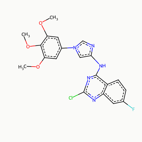 COc1cc(-n2cnc(Nc3nc(Cl)nc4cc(F)ccc34)c2)cc(OC)c1OC